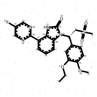 CCOc1cc([C@@H](CS(C)(=O)=O)n2c(=O)[nH]c3c(-c4ncc(F)cn4)cccc32)ccc1OC